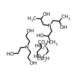 CC(O)CN(CC(C)O)CC(C)O.O=C(O)CC(=O)O.O=C(O)CCC(=O)O.OCCN(CCO)CCO